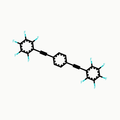 Fc1c(F)c(F)c(C#Cc2ccc(C#Cc3c(F)c(F)c(F)c(F)c3F)cc2)c(F)c1F